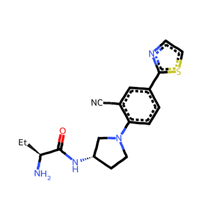 CC[C@H](N)C(=O)N[C@H]1CCN(c2ccc(-c3nccs3)cc2C#N)C1